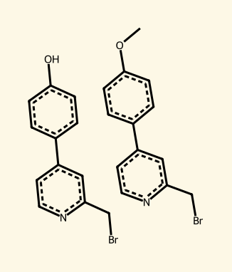 COc1ccc(-c2ccnc(CBr)c2)cc1.Oc1ccc(-c2ccnc(CBr)c2)cc1